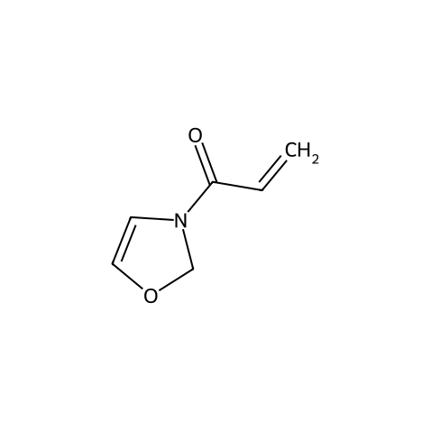 C=CC(=O)N1C=COC1